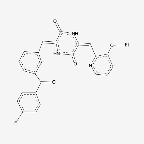 CCOc1cccnc1C=c1[nH]c(=O)c(=Cc2cccc(C(=O)c3ccc(F)cc3)c2)[nH]c1=O